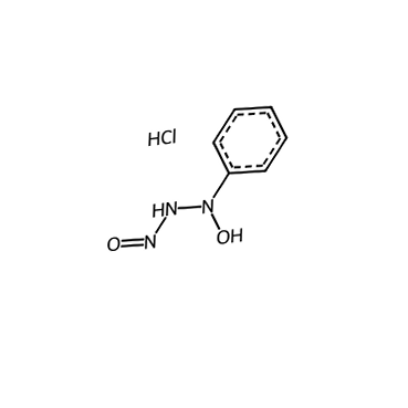 Cl.O=NNN(O)c1ccccc1